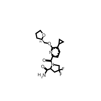 NC(=O)C1CC(F)(F)CN1C(=O)c1ccc(C2CC2)c(OC[C@H]2CCCO2)n1